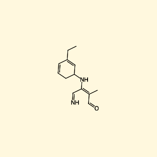 CCC1=CC(N/C(C=N)=C(\C)C=O)CC=C1